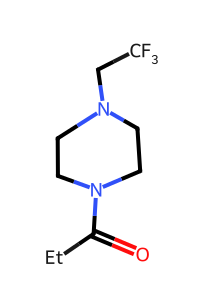 CCC(=O)N1CCN(CC(F)(F)F)CC1